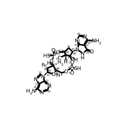 C[C@H]1[C@H]2OP(=O)(S)OC[C@H]3O[C@@H](n4cnc5c(N)ncnc54)[C@H](F)[C@@H]3OP(=O)(S)O[C@H]1C[C@H]2n1[nH]c(=O)c2c(N)ncnc21